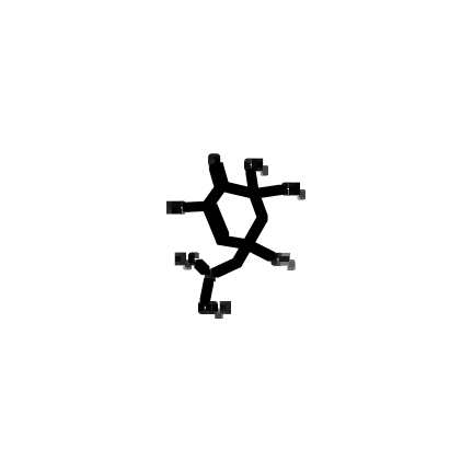 CN(CC1(C)C=C(C#N)C(=O)C(C)(C)C1)C(=O)O